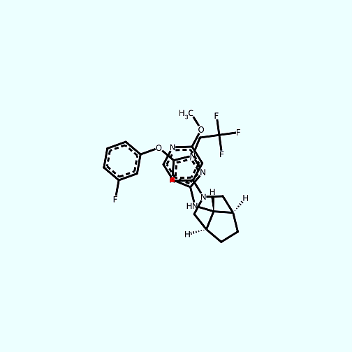 COc1cc(N2C[C@H]3CC[C@@H](C2)[C@@H]3Nc2nc(Oc3cccc(F)c3)n(CC(F)(F)F)n2)ccn1